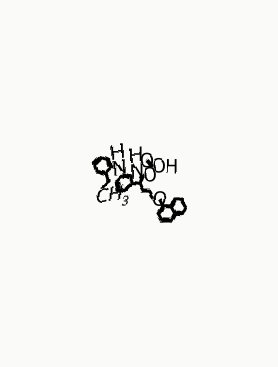 CCCc1ccccc1Nc1cccc2c(CCCOc3cccc4ccccc34)c(OC(=O)O)[nH]c12